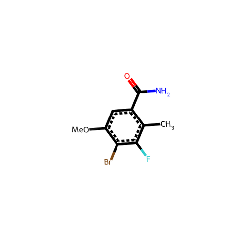 COc1cc(C(N)=O)c(C)c(F)c1Br